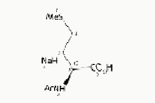 CSCC[C@H](NC(C)=O)C(=O)O.[NaH]